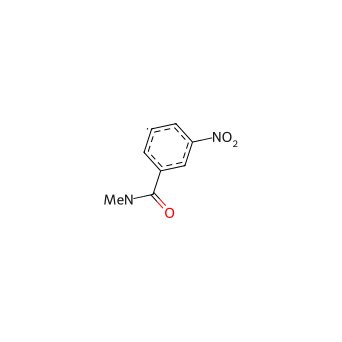 CNC(=O)c1c[c]cc([N+](=O)[O-])c1